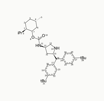 CC(C)[C@H]1CC[C@H](C)CC1OC(=O)N[C@H]1CN[C@@H](C(c2ccc(C(C)(C)C)cc2)c2ccc(C(C)(C)C)cc2)C1